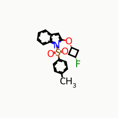 Cc1ccc(S(=O)(=O)n2c(O[C@H]3C[C@@H](F)C3)cc3ccccc32)cc1